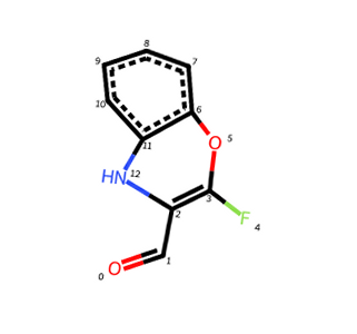 O=CC1=C(F)Oc2ccccc2N1